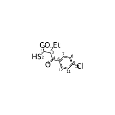 CCOC(=O)C(S)CC(=O)c1ccc(Cl)cc1